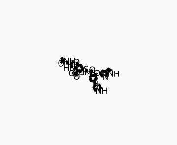 C=C(NC[C@H]1COc2cc(SNC(=O)c3ccc(N4CCNCC4)cc3Oc3cnc4[nH]ccc4c3)cc([N+](=O)[O-])c2N1)OC